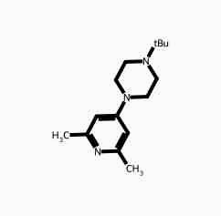 Cc1cc(N2CCN(C(C)(C)C)CC2)cc(C)n1